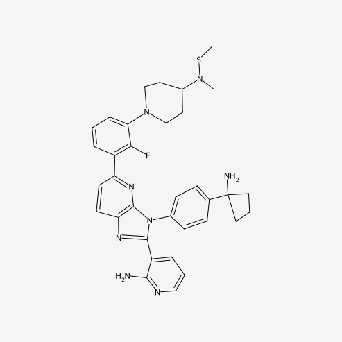 CSN(C)C1CCN(c2cccc(-c3ccc4nc(-c5cccnc5N)n(-c5ccc(C6(N)CCC6)cc5)c4n3)c2F)CC1